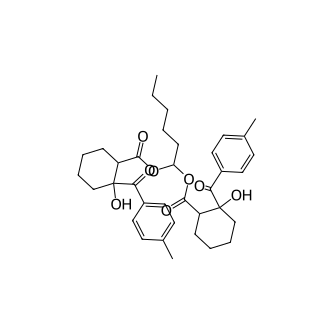 CCCCCC(OC(=O)C1CCCCC1(O)C(=O)c1ccc(C)cc1)OC(=O)C1CCCCC1(O)C(=O)c1ccc(C)cc1